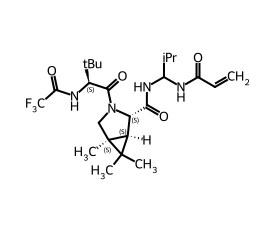 C=CC(=O)NC(NC(=O)[C@@H]1[C@H]2C(C)(C)[C@@]2(C)CN1C(=O)[C@@H](NC(=O)C(F)(F)F)C(C)(C)C)C(C)C